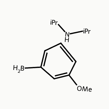 Bc1cccc(OC)c1.CC(C)NC(C)C